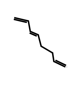 [CH]=CCCC=CC=C